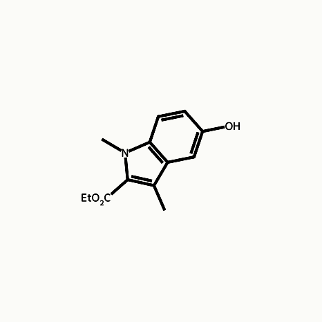 CCOC(=O)c1c(C)c2cc(O)ccc2n1C